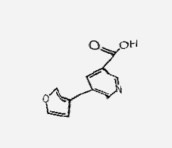 O=C(O)c1cncc(-c2ccoc2)c1